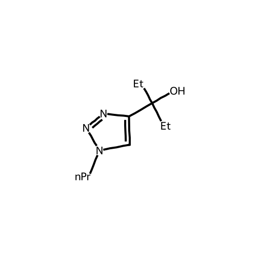 [CH2]CCn1cc(C(O)(CC)CC)nn1